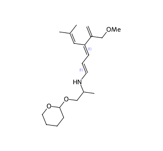 C=C(COC)/C(C=C(C)C)=C/C=C/NC(C)COC1CCCCO1